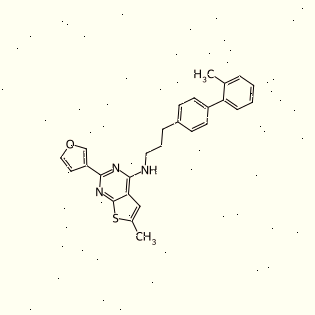 Cc1cc2c(NCCCc3ccc(-c4ccccc4C)cc3)nc(-c3ccoc3)nc2s1